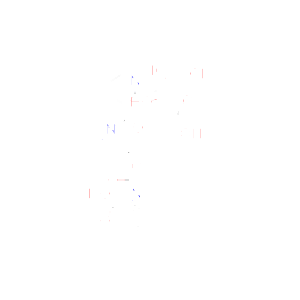 CC[C@H](C)[C@H](NC(=O)OC(C)(C)C)C(=O)O.NC(=O)c1cccnc1.OC[C@H]1OC(O)[C@H](O)[C@@H]1O